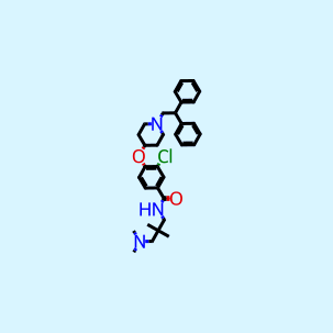 CN(C)CC(C)(C)CNC(=O)c1ccc(OC2CCN(CC(c3ccccc3)c3ccccc3)CC2)c(Cl)c1